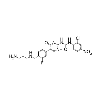 NCCCNCc1ccc(-c2c[nH]c(NC(=O)Nc3ccc([N+](=O)[O-])cc3Cl)nc2=O)cc1F